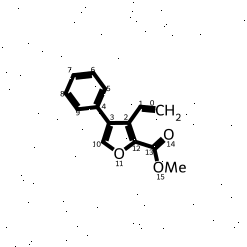 C=Cc1c(-c2ccccc2)coc1C(=O)OC